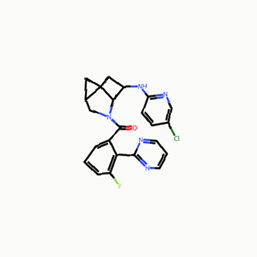 O=C(c1cccc(F)c1-c1ncccn1)N1CC2CC23CC(Nc2ccc(Cl)cn2)C13